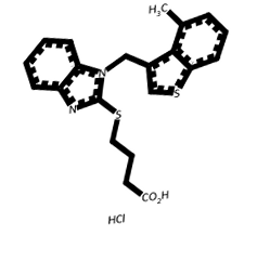 Cc1cccc2scc(Cn3c(SCCCC(=O)O)nc4ccccc43)c12.Cl